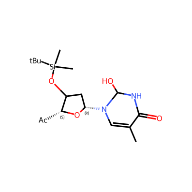 CC(=O)[C@H]1O[C@@H](N2C=C(C)C(=O)NC2O)CC1O[Si](C)(C)C(C)(C)C